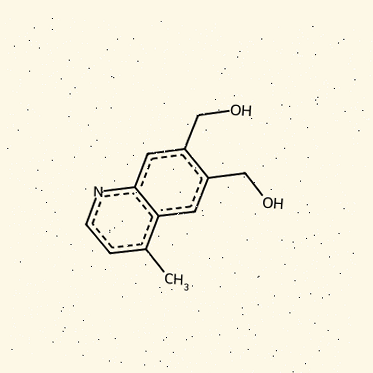 Cc1ccnc2cc(CO)c(CO)cc12